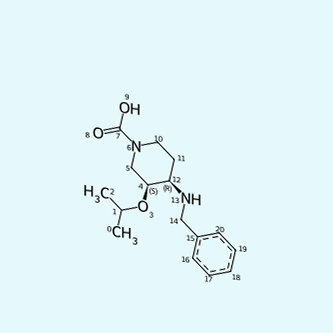 CC(C)O[C@H]1CN(C(=O)O)CC[C@H]1NCc1ccccc1